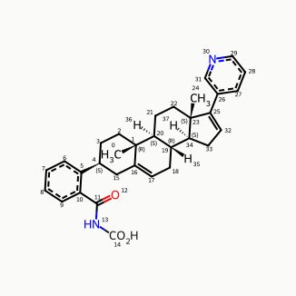 C[C@]12CC[C@H](c3ccccc3C(=O)NC(=O)O)CC1=CC[C@@H]1[C@@H]2CC[C@]2(C)C(c3cccnc3)=CC[C@@H]12